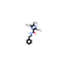 Cc1nc(C)c(C(=O)NCCc2cc[c]cc2)nc1C